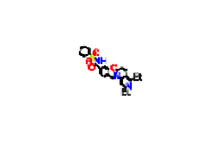 CCc1cc2c(ccc(=O)n2Cc2ccc(C(=O)NS(=O)(=O)c3ccccc3)cc2)c(CC)n1